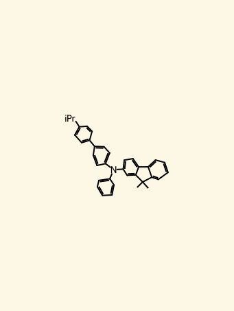 CC(C)c1ccc(-c2ccc(N(c3ccccc3)c3ccc4c(c3)C(C)(C)c3ccccc3-4)cc2)cc1